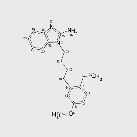 CCc1ccc(OC)cc1CCCCn1c(N)nc2ccccc21